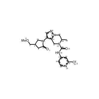 COCC1CC(=O)N(c2cnn3c2CN(C(=O)Nc2ccnc(C(F)(F)F)c2)C(C)C3)C1